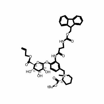 C=CCOC(=O)[C@H]1O[C@@H](Oc2ccc(C[N+]3(C)CCCC[C@@H]3C(=O)OC(C)(C)C)cc2NC(=O)CCNC(=O)OCC2c3ccccc3-c3ccccc32)[C@@H](O)[C@H](O)[C@@H]1O